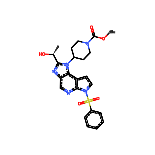 C[C@@H](O)c1nc2cnc3c(ccn3S(=O)(=O)c3ccccc3)c2n1C1CCN(C(=O)OC(C)(C)C)CC1